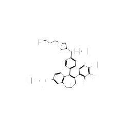 Cl.O=C(O)c1ccc2c(c1)CCCC(c1ccc(Cl)c(F)c1Cl)=C2c1ccc(CC2CN(CCCF)C2)cc1